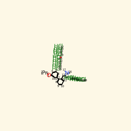 CC(C)Oc1cccc(-c2ccccc2CCN(C)C)c1.Cl.Cl.Cl.Cl.Cl.Cl.Cl.Cl.Cl.Cl.Cl.Cl.Cl.Cl.Cl.Cl.Cl.Cl.Cl.Cl